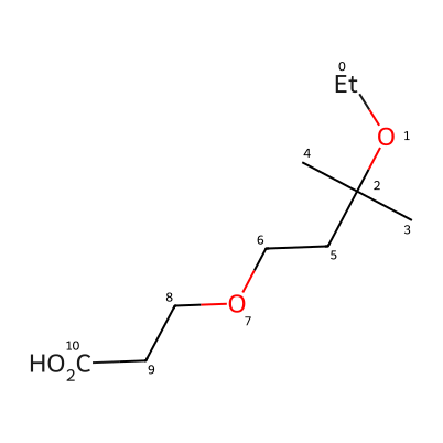 CCOC(C)(C)CCOCCC(=O)O